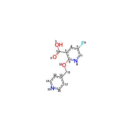 O=C(O)c1cc(F)cnc1OCc1ccncc1